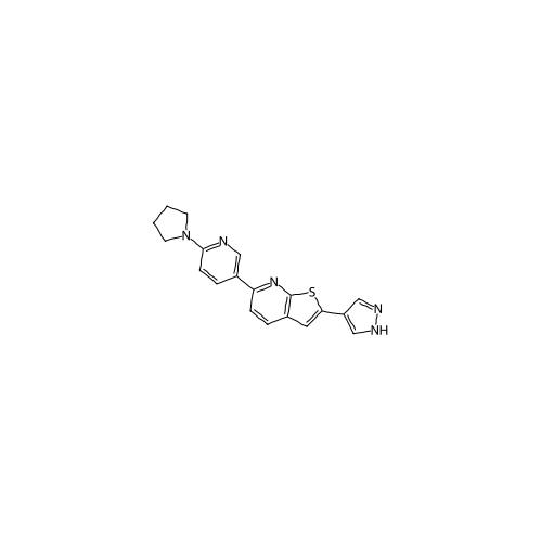 c1cc(N2CCCC2)ncc1-c1ccc2cc(-c3cn[nH]c3)sc2n1